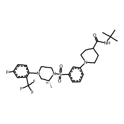 C[C@@H]1CN(c2ccc(F)cc2C(F)(F)F)CCN1S(=O)(=O)c1cccc(N2CCC(C(=O)NC(C)(C)C)CC2)c1